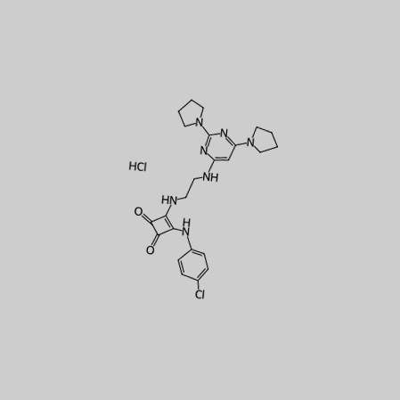 Cl.O=c1c(NCCNc2cc(N3CCCC3)nc(N3CCCC3)n2)c(Nc2ccc(Cl)cc2)c1=O